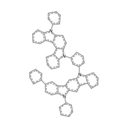 c1ccc(-c2ccc3c(c2)c2cc4c(cc2n3-c2ccccc2)c2ccccc2n4-c2cccc(-n3c4ccccc4c4c5c6ccccc6n(-c6ccccc6)c5ccc43)c2)cc1